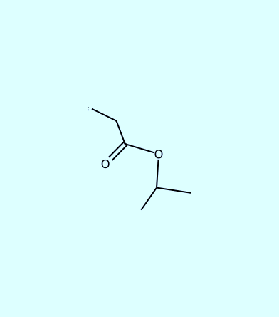 [CH]CC(=O)OC(C)C